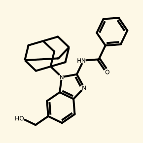 O=C(Nc1nc2ccc(CO)cc2n1C12CC3CC(CC(C3)C1)C2)c1ccccc1